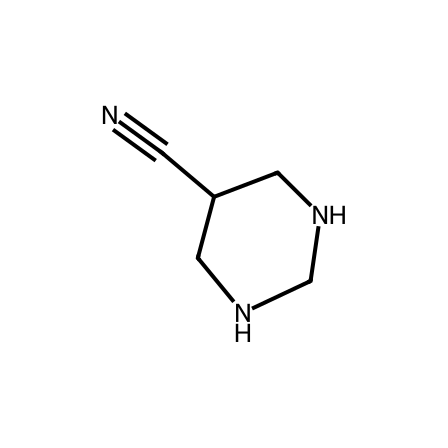 N#CC1CNCNC1